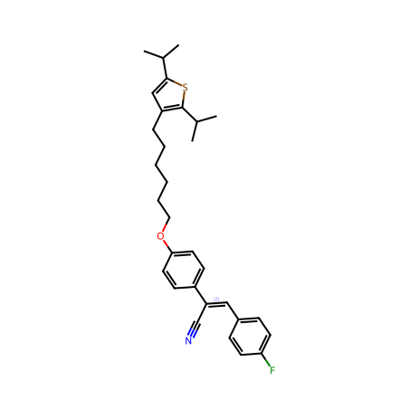 CC(C)c1cc(CCCCCCOc2ccc(/C(C#N)=C/c3ccc(F)cc3)cc2)c(C(C)C)s1